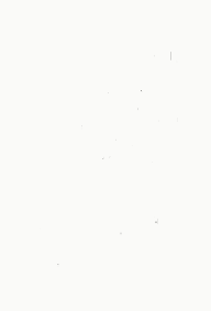 CC12OCC(c3ccccc3Br)(CO1)CO2